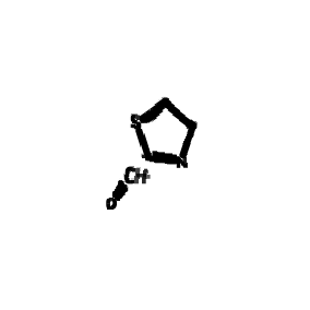 [CH]=O.[C]1=NCCS1